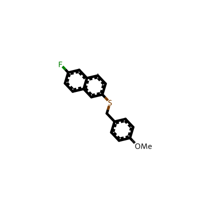 COc1ccc(CSc2c[c]c3cc(F)ccc3c2)cc1